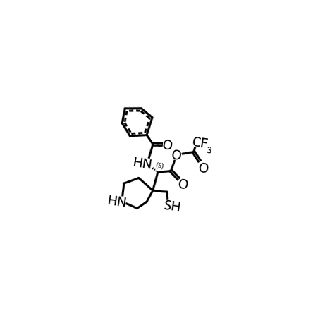 O=C(N[C@H](C(=O)OC(=O)C(F)(F)F)C1(CS)CCNCC1)c1ccccc1